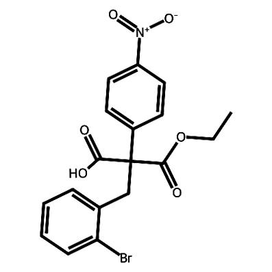 CCOC(=O)C(Cc1ccccc1Br)(C(=O)O)c1ccc([N+](=O)[O-])cc1